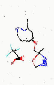 C[C@H]1C[C@@H](OCC2(C)N=NCO2)CCN1.O=C(O)C(F)(F)F